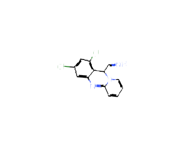 N=CC1c2c(Cl)cc(Cl)cc2N=C2C=CC=CN21